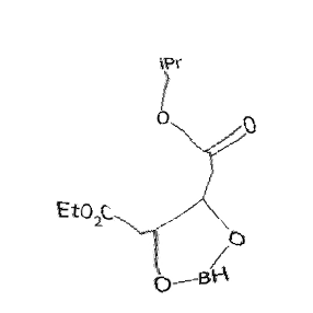 CCOC(=O)C1OBOC1C(=O)OC(C)C